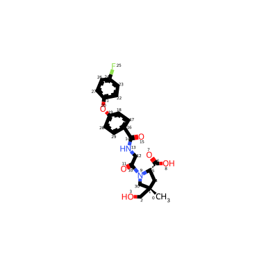 C[C@]1(CO)C[C@@H](C(=O)O)N(C(=O)CNC(=O)c2ccc(Oc3ccc(F)cc3)cc2)C1